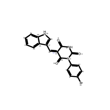 O=C1NC(=O)N(c2ccc(Br)cc2)C(=O)/C1=C/c1c[nH]c2ccccc12